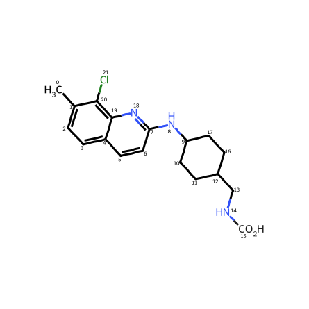 Cc1ccc2ccc(NC3CCC(CNC(=O)O)CC3)nc2c1Cl